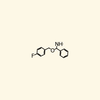 [NH]C(OCc1ccc(F)cc1)c1ccccc1